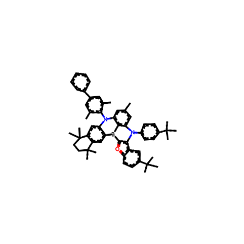 Cc1cc2c3c(c1)N(c1ccc(C(C)(C)C)cc1)c1c(oc4ccc(C(C)(C)C)cc14)B3c1cc3c(cc1N2c1c(C)cc(-c2ccccc2)cc1C)C(C)(C)CCC3(C)C